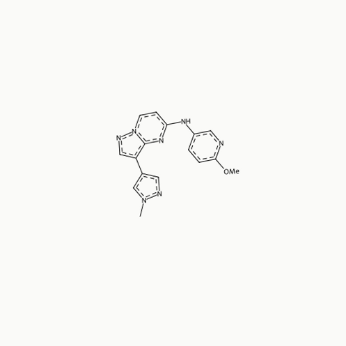 COc1ccc(Nc2ccn3ncc(-c4cnn(C)c4)c3n2)cn1